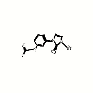 CC(C)n1ccn(-c2cccc(OC(F)F)c2)c1=O